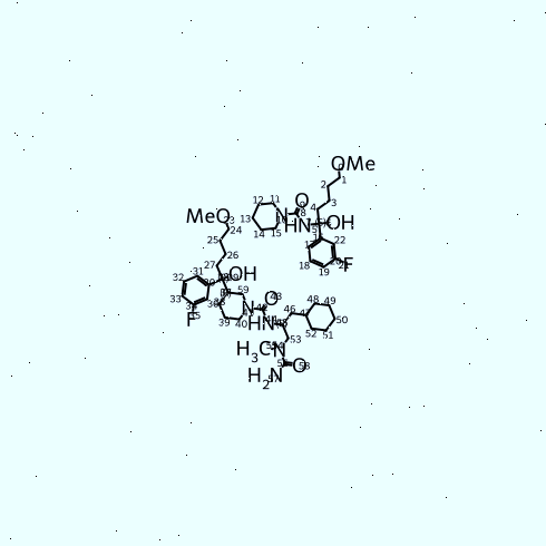 COCCCC[C@@](O)(NC(=O)N1CCCCC1)c1cccc(F)c1.COCCCC[C@@](O)(c1cccc(F)c1)[C@@H]1CCCN(C(=O)N[C@@H](CC2CCCCC2)CN(C)C(N)=O)C1